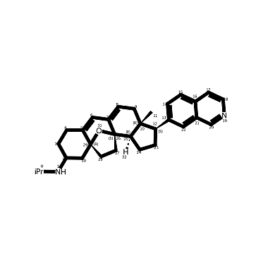 CC(C)NC1CCC2=CC3=CC[C@]4(C)[C@@H](c5ccc6ccncc6c5)CC[C@H]4[C@@]34CC[C@]2(C1)O4